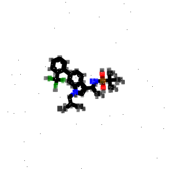 CC(C)Cn1cc(C(C)NS(=O)(=O)C(C)(C)C)c2ccc(-c3ccccc3C(F)(F)F)cc21